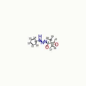 CC(=O)C(C(=O)N=NNc1ccccc1)(C(C)C)C(C)C